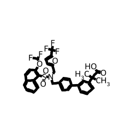 CC(C)(C(=O)O)c1cccc(-c2ccc(CN(Cc3ccc(C(F)(F)F)o3)S(=O)(=O)c3c(OC(F)F)ccc4ccccc34)cc2)c1